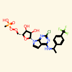 CC(Nc1nc(Cl)nc2c1ccn2[C@@H]1O[C@H](COOP(C)(=O)O)[C@@H](O)[C@H]1O)c1ccc(C(F)(F)F)cc1